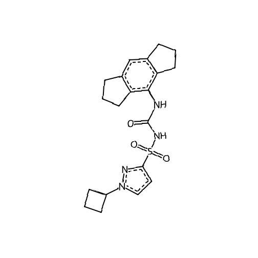 O=C(Nc1c2c(cc3c1CCC3)CCC2)NS(=O)(=O)c1ccn(C2CCC2)n1